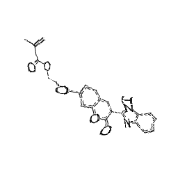 C=C(C)C(=O)OCCOc1ccc2cc(-c3nc4ccccc4[nH]3)c(=O)oc2c1